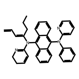 C=C/C=C(\CCC)N(C1=NCCC=C1)c1c2ccccc2c(N(c2ccccc2)c2ccccn2)c2ccccc12